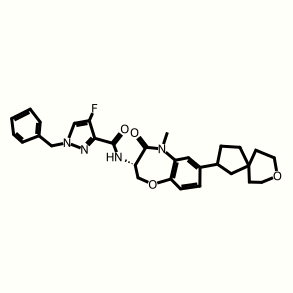 CN1C(=O)[C@@H](NC(=O)c2nn(Cc3ccccc3)cc2F)COc2ccc(C3CCC4(CCOCC4)C3)cc21